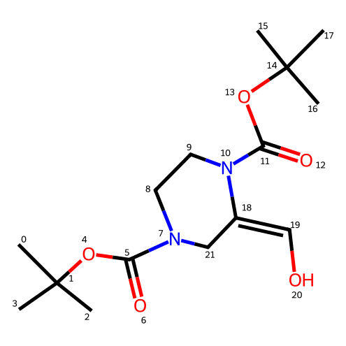 CC(C)(C)OC(=O)N1CCN(C(=O)OC(C)(C)C)C(=CO)C1